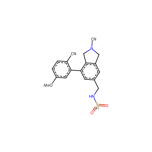 COc1ccc(C#N)c(-c2cc(CN[SH](=O)=O)cc3c2CN(C#N)C3)c1